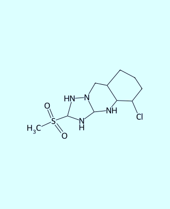 CS(=O)(=O)C1NC2NC3C(Cl)CCCC3CN2N1